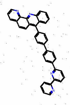 c1ccc(-c2cccc(-c3ccc(-c4ccc(-c5c6ccccc6nc6c5ccc5cccnc56)cc4)cc3)n2)nc1